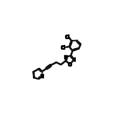 Clc1cccc(-c2noc(CCC#Cc3ccccn3)n2)c1Cl